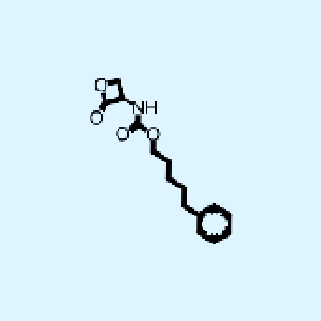 O=C(N[C@@H]1COC1=O)OCCCCCc1ccccc1